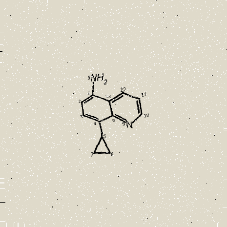 Nc1ccc(C2CC2)c2ncccc12